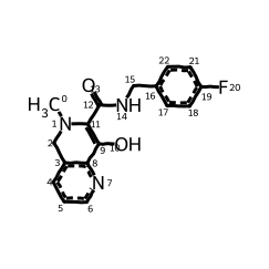 CN1Cc2cccnc2C(O)=C1C(=O)NCc1ccc(F)cc1